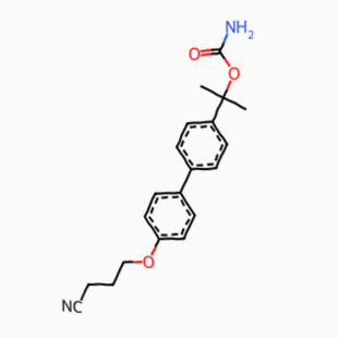 CC(C)(OC(N)=O)c1ccc(-c2ccc(OCCCC#N)cc2)cc1